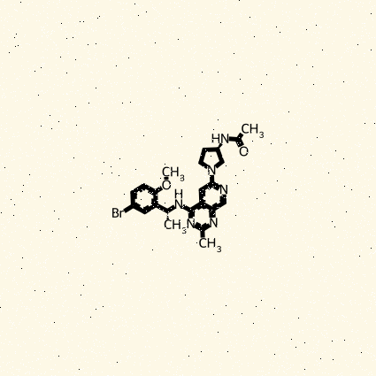 COc1ccc(Br)cc1[C@@H](C)Nc1nc(C)nc2cnc(N3CC[C@@H](NC(C)=O)C3)cc12